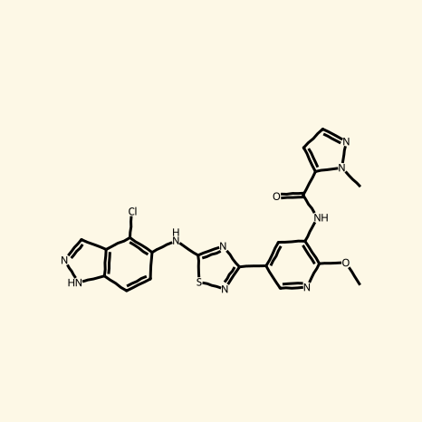 COc1ncc(-c2nsc(Nc3ccc4[nH]ncc4c3Cl)n2)cc1NC(=O)c1ccnn1C